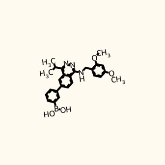 COc1ccc(CNc2nnc(C(C)C)c3cc(-c4cccc(B(O)O)c4)ccc23)c(OC)c1